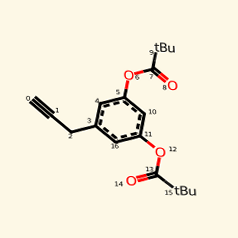 C#CCc1cc(OC(=O)C(C)(C)C)cc(OC(=O)C(C)(C)C)c1